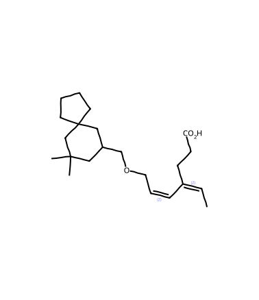 C/C=C(\C=C/COCC1CC(C)(C)CC2(CCCC2)C1)CCC(=O)O